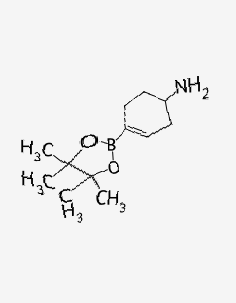 CC1(C)OB(C2=CCC(N)CC2)OC1(C)C